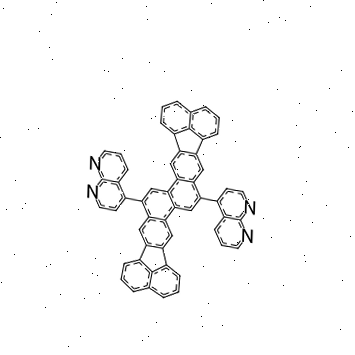 c1cc2c3c(cccc3c1)-c1cc3c(cc1-2)c(-c1ccnc2ncccc12)cc1c2cc4c(cc2c(-c2ccnc5ncccc25)cc31)-c1cccc2cccc-4c12